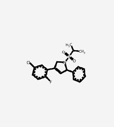 CC(C)S(=O)(=O)N1CC(c2cc(Cl)ccc2F)=CC1c1ccccc1